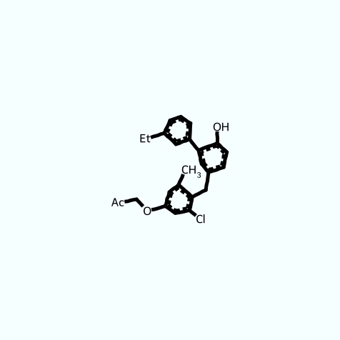 CCc1cccc(-c2cc(Cc3c(C)cc(OCC(C)=O)cc3Cl)ccc2O)c1